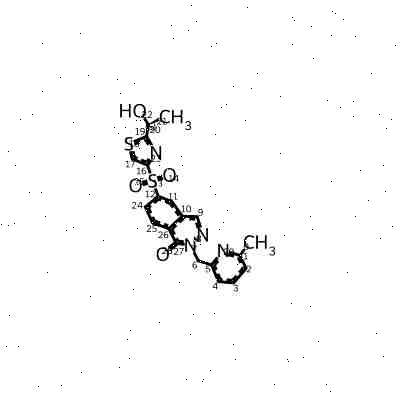 Cc1cccc(Cn2ncc3cc(S(=O)(=O)c4csc([C@H](C)O)n4)ccc3c2=O)n1